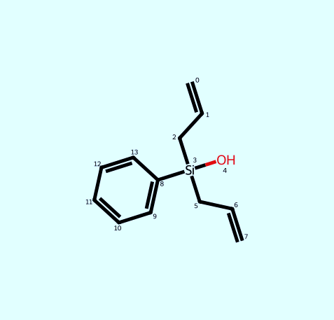 C=CC[Si](O)(CC=C)c1ccccc1